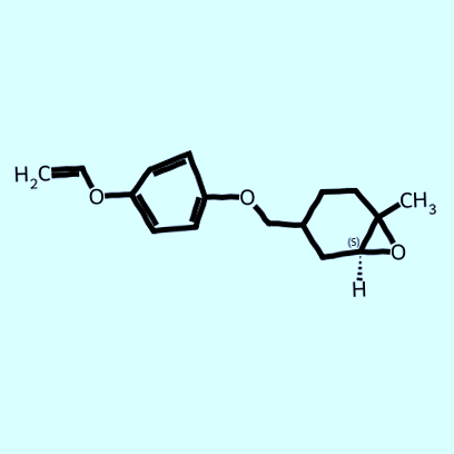 C=COc1ccc(OCC2CCC3(C)O[C@H]3C2)cc1